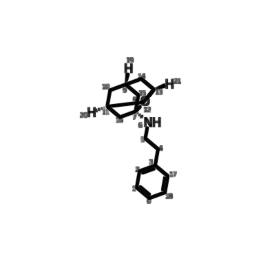 c1ccc(CCN[C@]23C[C@@H]4C[C@@H](C[C@H](C4)O2)C3)cc1